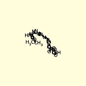 CC(C)Oc1ccc2[nH]nc(-c3cc(N4CCN(CCN5CC(CN6CCN(c7ccc8c(c7)C(=O)N(C7CCC(=O)NC7=O)C8=O)CC6)C5)CC4)ncn3)c2c1